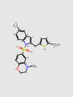 CN1CCOc2ccc(S(=O)(=O)n3c(Cc4ccc(C(=O)O)s4)cc4cc(C(F)(F)F)ccc43)cc21